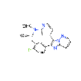 Cc1cc(-c2nc3cccnn3c2-c2ccnc(N(C=O)CC(C)(C)C)c2)ccc1F